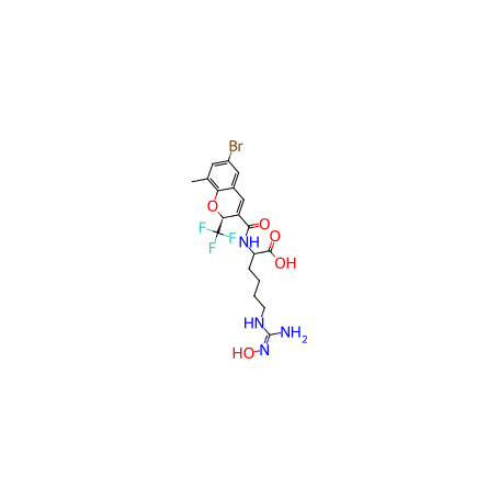 Cc1cc(Br)cc2c1O[C@H](C(F)(F)F)C(C(=O)NC(CCCCN/C(N)=N\O)C(=O)O)=C2